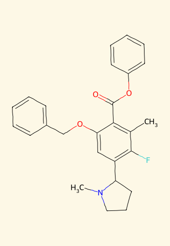 Cc1c(F)c(C2CCCN2C)cc(OCc2ccccc2)c1C(=O)Oc1ccccc1